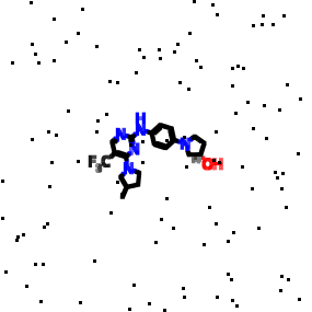 CC1CCN(c2nc(Nc3ccc(N4CC[C@H](O)C4)cc3)ncc2C(F)(F)F)C1